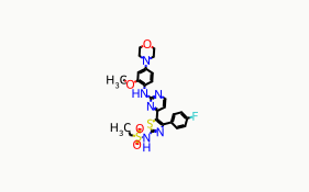 CCS(=O)(=O)Nc1nc(-c2ccc(F)cc2)c(-c2ccnc(Nc3ccc(N4CCOCC4)cc3OC)n2)s1